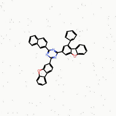 c1ccc(-c2cc(-c3nc(-c4ccc5ccccc5c4)nc(-c4ccc5c(c4)oc4ccccc45)n3)cc3oc4ccccc4c23)cc1